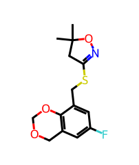 CC1(C)CC(SCc2cc(F)cc3c2OCOC3)=NO1